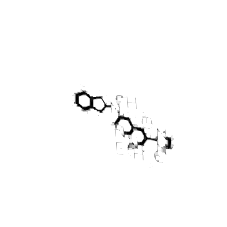 CCn1cc(-c2nccn2C)c(=O)c2cc(N(C)C3Cc4ccccc4C3)cnc21